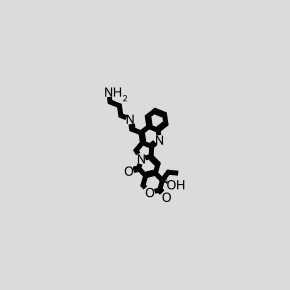 CC[C@@]1(O)C(=O)OCc2c1cc1n(c2=O)Cc2c-1nc1ccccc1c2C=NCCCN